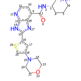 O=C(N[C@H]1CCCNC1)c1ccnc2[nH]c(-c3cc(N4CCOCC4)cs3)nc12